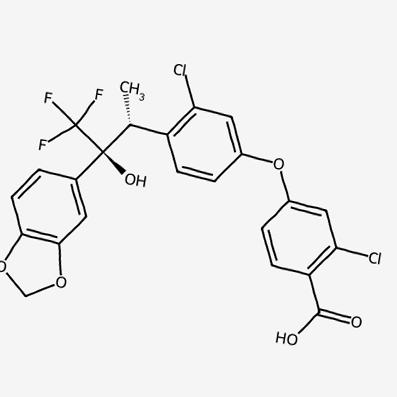 C[C@H](c1ccc(Oc2ccc(C(=O)O)c(Cl)c2)cc1Cl)[C@](O)(c1ccc2c(c1)OCO2)C(F)(F)F